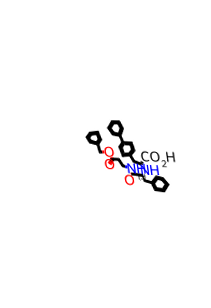 O=C(CCNC(=O)[C@H](Cc1ccccc1)NC(Cc1ccc(-c2ccccc2)cc1)C(=O)O)OCc1ccccc1